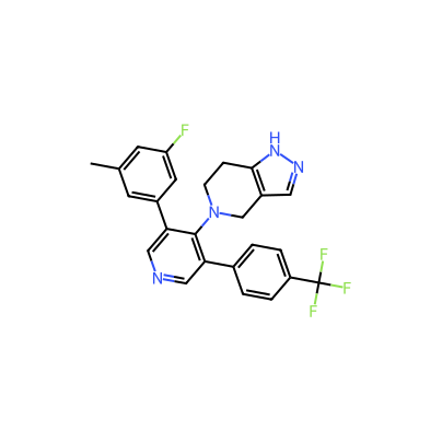 Cc1cc(F)cc(-c2cncc(-c3ccc(C(F)(F)F)cc3)c2N2CCc3[nH]ncc3C2)c1